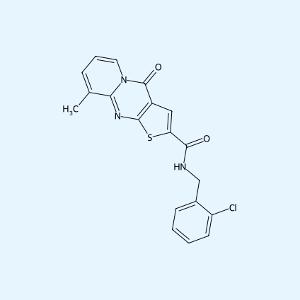 Cc1cccn2c(=O)c3cc(C(=O)NCc4ccccc4Cl)sc3nc12